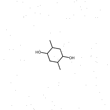 CC1CC(O)C(C)CC1O